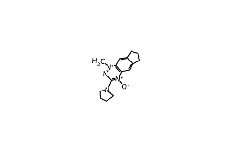 C[n+]1nc(N2CCCC2)[n+]([O-])c2cc3c(cc21)CCC3